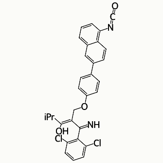 CC(C)/C(O)=C(\COc1ccc(-c2ccc3c(N=C=O)cccc3c2)cc1)C(=N)c1c(Cl)cccc1Cl